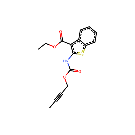 CC#CCOC(=O)Nc1sc2ccccc2c1C(=O)OCC